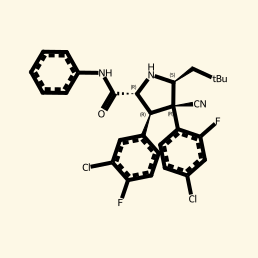 CC(C)(C)C[C@@H]1N[C@@H](C(=O)Nc2ccccc2)[C@H](c2ccc(F)c(Cl)c2)[C@@]1(C#N)c1ccc(Cl)cc1F